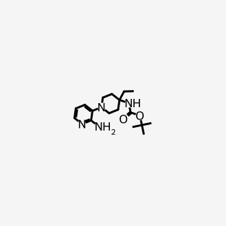 CCC1(NC(=O)OC(C)(C)C)CCN(c2cccnc2N)CC1